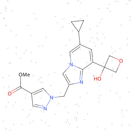 COC(=O)c1cnn(Cc2cn3cc(C4CC4)cc(C4(O)COC4)c3n2)c1